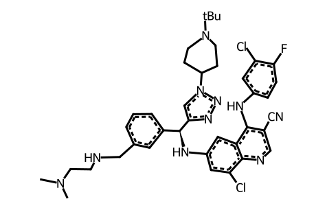 CN(C)CCNCc1cccc([C@H](Nc2cc(Cl)c3ncc(C#N)c(Nc4ccc(F)c(Cl)c4)c3c2)c2cn(C3CCN(C(C)(C)C)CC3)nn2)c1